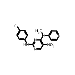 CN(c1ccncc1)c1nc(Nc2ccc(Cl)cc2)ncc1[N+](=O)[O-]